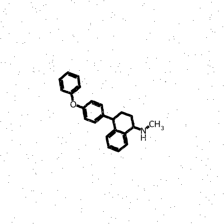 CNC1CCC(c2ccc(Oc3ccccc3)cc2)c2ccccc21